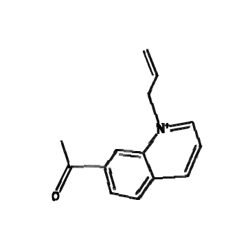 C=CC[n+]1cccc2ccc(C(C)=O)cc21